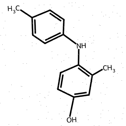 Cc1ccc(Nc2ccc(O)cc2C)cc1